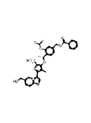 Cc1c(-c2cnc3ccc(CO)cn23)sc(C(=O)O)c1O[C@H](C)c1ccc(COC(=O)c2ccccc2)cc1OC(F)F